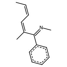 C\C=C/C=C(C)\C(=N\C)c1ccccc1